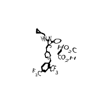 O=C(O)C=CC(=O)O.O=C1N=C(NCC2CC2)C(=CC2CCN(Cc3ccc(C(F)(F)F)cc3C(F)(F)F)CC2)S1